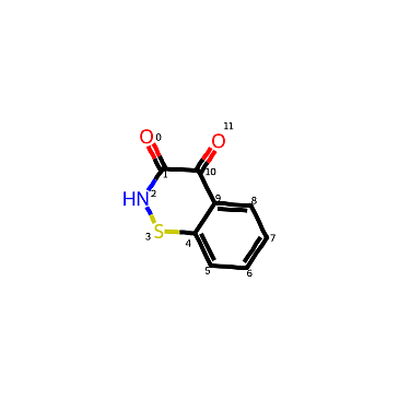 O=c1[nH]sc2ccccc2c1=O